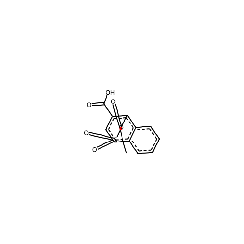 O=C(O)c1cc2c3ccccc3c1C(=O)OS2(=O)=O